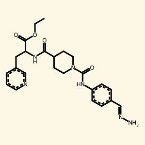 CCOC(=O)C(Cc1cccnc1)NC(=O)C1CCN(C(=O)Nc2ccc(C=NN)cc2)CC1